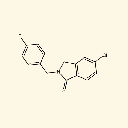 O=C1c2ccc(O)cc2CN1Cc1ccc(F)cc1